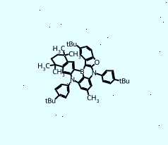 Cc1cc2c3c(c1)N(c1ccc(C(C)(C)C)cc1)c1oc4ccc(C(C)(C)C)cc4c1B3c1cc3c(cc1N2c1ccc(C(C)(C)C)cc1)C(C)(C)CCC3(C)C